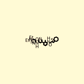 CCN(CC)c1ccc(Nc2cc(-c3cccc(NC(=O)c4cc5c(s4)CCCCC5)c3C)cn(C)c2=O)nn1